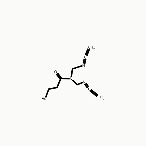 C=C=NCN(CN=C=C)C(=O)CCC(C)=O